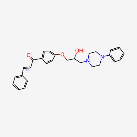 O=C(/C=C/c1ccccc1)c1ccc(OCC(O)CN2CCN(c3ccccc3)CC2)cc1